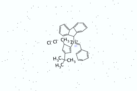 CC1C=C(C(C)(C)C)C=[C]1/[Zr+2](=[CH]\c1ccccc1)[CH]1c2ccccc2-c2ccccc21.[Cl-].[Cl-]